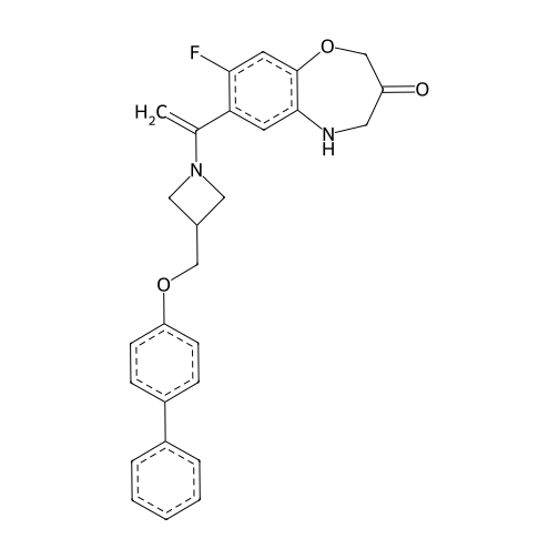 C=C(c1cc2c(cc1F)OCC(=O)CN2)N1CC(COc2ccc(-c3ccccc3)cc2)C1